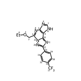 CCOCc1nc2nc[nH]c2c2nc(-c3ccc(C(F)(F)F)cc3)nn12